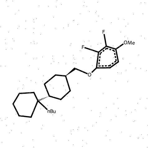 CCCCC1([C@H]2CC[C@H](COc3ccc(OC)c(F)c3F)CC2)CCCCC1